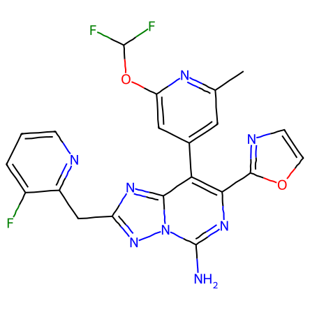 Cc1cc(-c2c(-c3ncco3)nc(N)n3nc(Cc4ncccc4F)nc23)cc(OC(F)F)n1